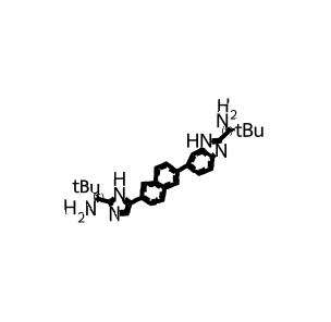 CC(C)(C)[C@H](N)c1ncc(-c2ccc3cc(-c4ccc5nc([C@@H](N)C(C)(C)C)[nH]c5c4)ccc3c2)[nH]1